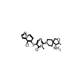 C[C@@H]1OCC2(CCN(c3ncc(Sc4ccn5nccc5c4Cl)c(=O)n3C)CC2)[C@@H]1N